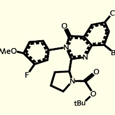 COc1ccc(-n2c(C3CCCN3C(=O)OC(C)(C)C)nc3c(Br)cc(C#N)cc3c2=O)cc1F